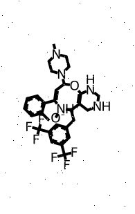 Cc1ccccc1/C1=C/C(N2CCN(C)CC2)OC2=C(CNCN2)C(Cc2cc(C(F)(F)F)cc(C(F)(F)F)c2)[NH+]1[O-]